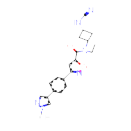 Cn1cc(-c2ccc(-c3cc(C(=O)N4CC[C@]45C[C@@H](NC#N)C5)on3)cc2)cn1